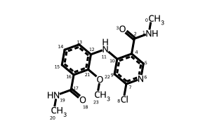 CNC(=O)c1cnc(Cl)cc1Nc1cccc(C(=O)NC)c1OC